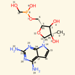 C[C@@]1(O)C(O)[C@@H](COP(O)CO)O[C@H]1n1ccc2c(N)nc(N)nc21